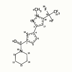 Cn1nc(-c2ccc(C(=O)N3CCCCC3)s2)cc1C(F)(F)C(F)(F)F